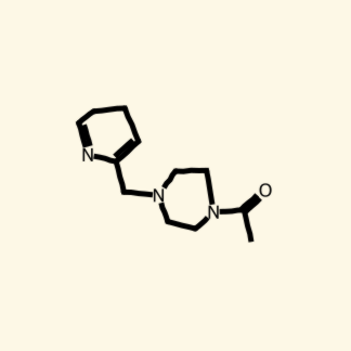 CC(=O)N1CCN(CC2=CCCC=N2)CC1